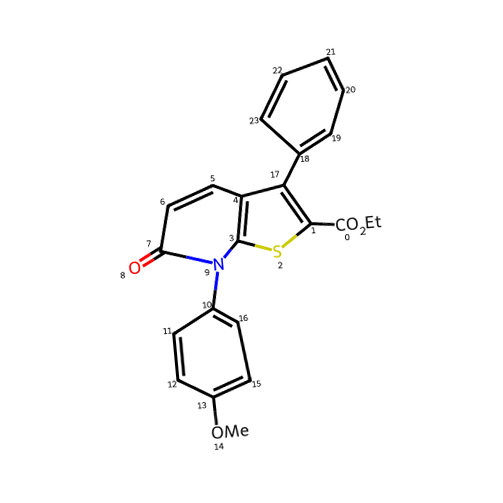 CCOC(=O)c1sc2c(ccc(=O)n2-c2ccc(OC)cc2)c1-c1ccccc1